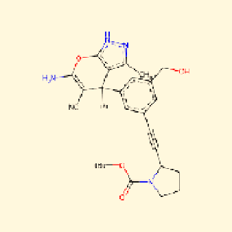 Cc1n[nH]c2c1C(c1cc(C#CC3CCCN3C(=O)OC(C)(C)C)cc(CO)c1)(C(C)C)C(C#N)=C(N)O2